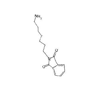 NCCC[CH]CCCN1C(=O)c2ccccc2C1=O